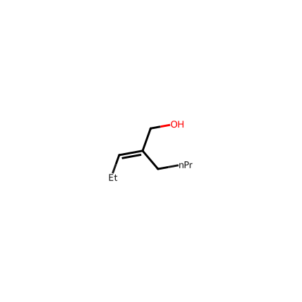 CCC=C(CO)CCCC